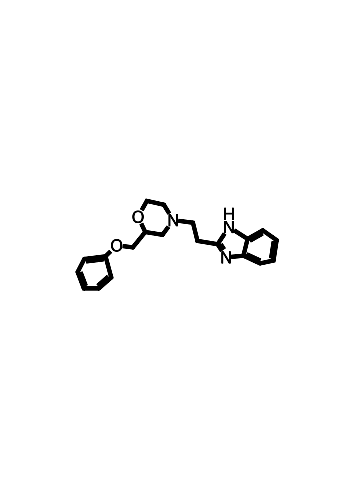 c1ccc(OCC2CN(CCc3nc4ccccc4[nH]3)CCO2)cc1